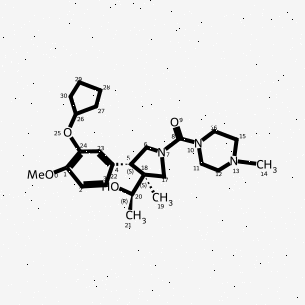 COc1ccc([C@@H]2CN(C(=O)N3CCN(C)CC3)C[C@@]2(C)[C@@H](C)O)cc1OC1CCCC1